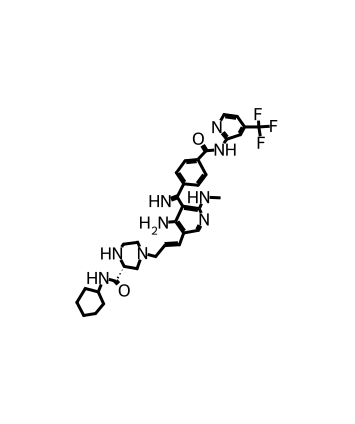 CNc1ncc(/C=C/CN2CCN[C@@H](C(=O)NC3CCCCC3)C2)c(N)c1C(=N)c1ccc(C(=O)Nc2cc(C(F)(F)F)ccn2)cc1